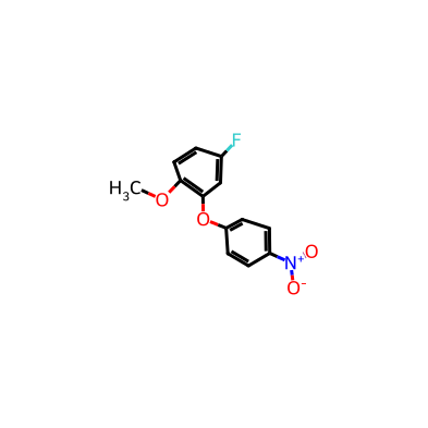 COc1ccc(F)cc1Oc1ccc([N+](=O)[O-])cc1